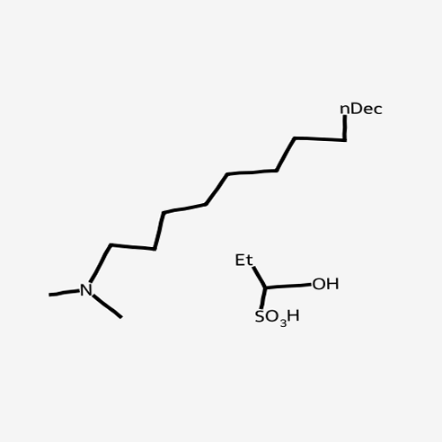 CCC(O)S(=O)(=O)O.CCCCCCCCCCCCCCCCCCN(C)C